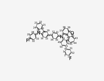 Fc1ccc(-c2ccc(N(c3ccc(-c4ccc5c(c4)c4ccccc4n5-c4ccc(F)cc4)cc3)c3cccc4oc5ccccc5c34)cc2)cc1